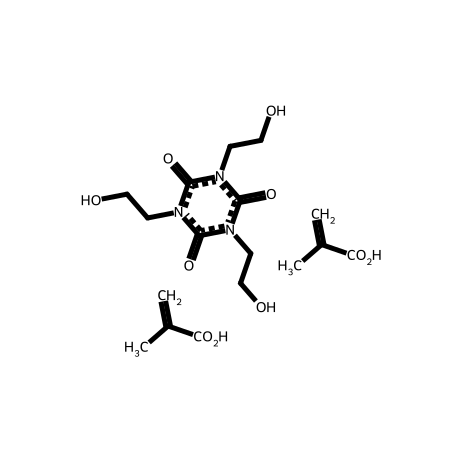 C=C(C)C(=O)O.C=C(C)C(=O)O.O=c1n(CCO)c(=O)n(CCO)c(=O)n1CCO